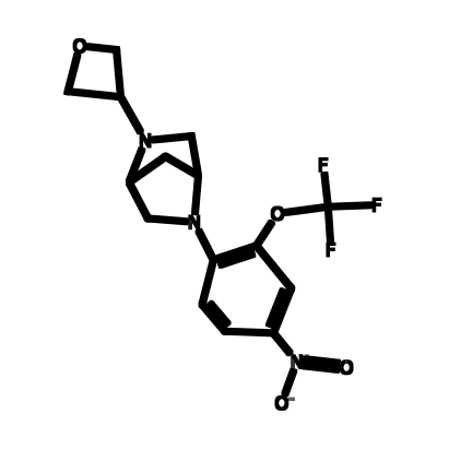 O=[N+]([O-])c1ccc(N2CC3CC2CN3C2COC2)c(OC(F)(F)F)c1